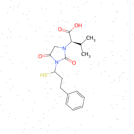 CC(C)[C@H](C(=O)O)N1CC(=O)N(C(S)CCc2ccccc2)C1=O